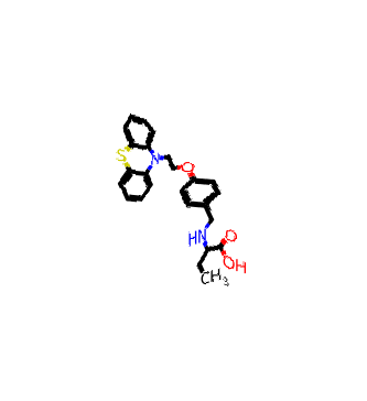 CCC(NCc1ccc(OCCN2c3ccccc3Sc3ccccc32)cc1)C(=O)O